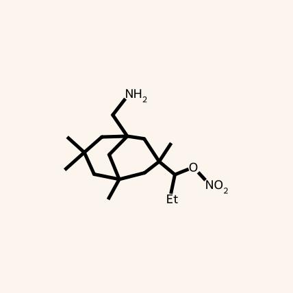 CCC(O[N+](=O)[O-])C1(C)CC2(C)CC(C)(C)CC(CN)(C2)C1